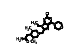 CCn1c(CN2C[C@@H](C)C(CC(N)=O)[C@@H](C)C2)nc2c(N3CCOCC3)nc(Cl)nc21